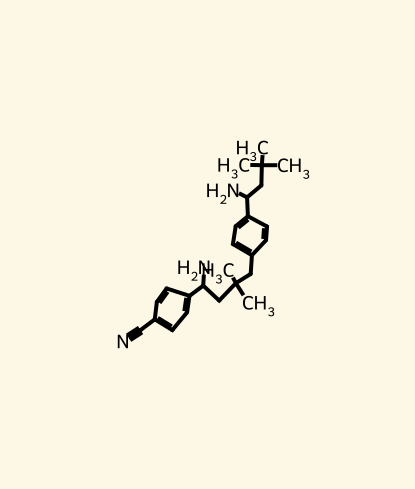 CC(C)(C)CC(N)c1ccc(CC(C)(C)CC(N)c2ccc(C#N)cc2)cc1